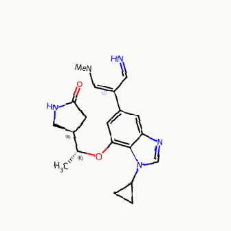 CN/C=C(\C=N)c1cc(O[C@H](C)[C@H]2CNC(=O)C2)c2c(c1)ncn2C1CC1